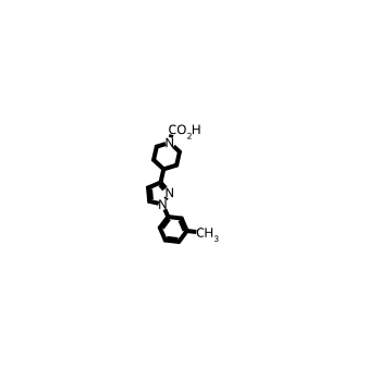 Cc1cccc(-n2ccc(C3CCN(C(=O)O)CC3)n2)c1